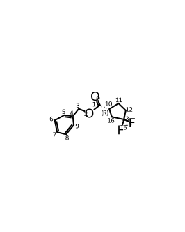 O=C(OCc1ccccc1)[C@@H]1CCC(F)(F)C1